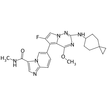 CNC(=O)c1cnc2ccc(-c3c(F)cn4nc(NC5CCC6(CC5)CC6)nc(OC)c34)cn12